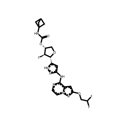 O=C(NC12CC(C1)C2)O[C@@H]1CO[C@H](c2cc(Nc3nccn4nc(OCC(F)F)cc34)n[nH]2)[C@H]1F